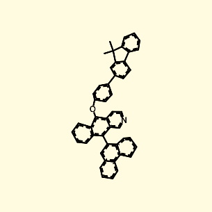 CC1(C)c2ccccc2-c2ccc(-c3ccc(Oc4c5ccccc5c(-c5cc6ccccc6c6ccccc56)c5cnccc45)cc3)cc21